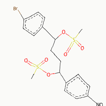 CS(=O)(=O)OC(CCC(OS(C)(=O)=O)c1ccc([N+](=O)[O-])cc1)c1ccc(Br)cc1